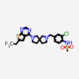 CS(=O)(=O)Nc1ccc(CN2CCC3(CCN(c4ncnc5sc(CC(F)(F)F)cc45)C3)C2)cc1Cl